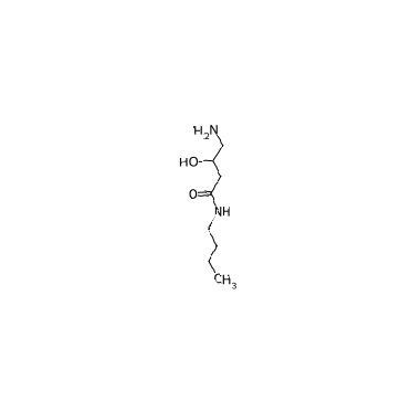 CCCCNC(=O)CC(O)CN